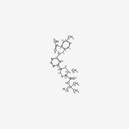 Cc1ccc(COc2cccc(N3CCN(C(=O)OC(C)(C)C)[C@@H](C)C3)n2)c(C(=O)O)c1